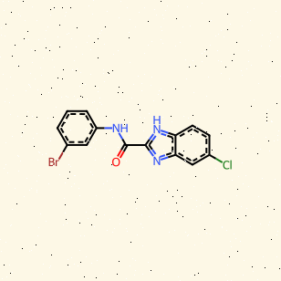 O=C(Nc1cccc(Br)c1)c1nc2cc(Cl)ccc2[nH]1